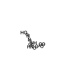 COc1cccc2c(COc3cccc4[nH]c(C(=O)NC5CCN(CCN6CCC(O)CC6)CC5)cc34)coc12